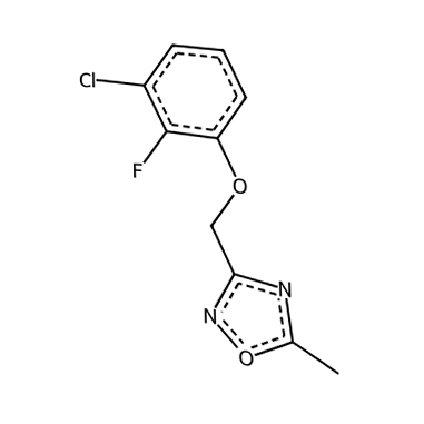 Cc1nc(COc2cccc(Cl)c2F)no1